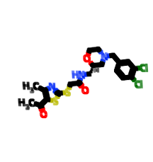 CC(=O)c1sc(SCC(=O)NC[C@H]2CN(Cc3ccc(Cl)c(Cl)c3)CCO2)nc1C